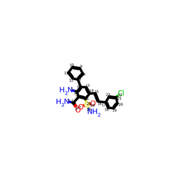 NC(=O)c1c(N)c(-c2ccccc2)cc(C=Cc2cccc(Cl)c2)c1S(N)(=O)=O